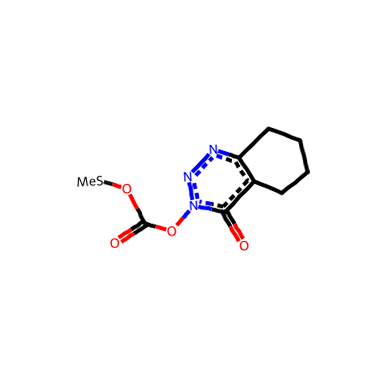 CSOC(=O)On1nnc2c(c1=O)CCCC2